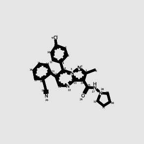 Cc1nn2c(-c3ccc(Cl)cc3)c(-c3ccccc3C#N)cnc2c1C(=O)NN1CCCC1